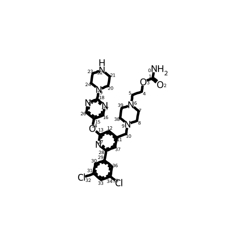 NC(=O)OCCN1CCN(Cc2cc(Oc3cnc(N4CCNCC4)nc3)nc(-c3cc(Cl)cc(Cl)c3)c2)CC1